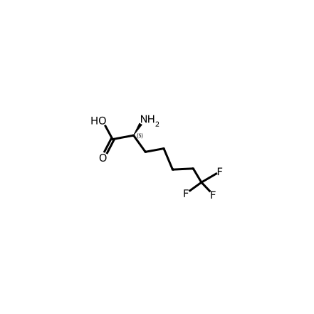 N[C@@H](CCCCC(F)(F)F)C(=O)O